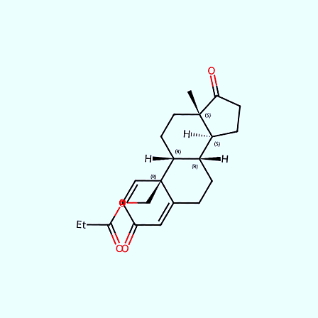 CCC(=O)OC[C@]12C=CC(=O)C=C1CC[C@@H]1[C@H]2CC[C@]2(C)C(=O)CC[C@@H]12